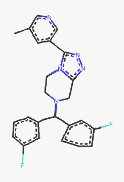 Cc1cncc(-c2nnc3n2CCN(C(c2cccc(F)c2)c2cccc(F)c2)C3)c1